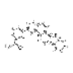 O=C(c1cccc(-c2ccc3ccc4c(ccc5c6ccccc6sc54)c3c2)c1)C(F)(F)F